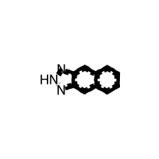 c1ccc2cc3n[nH]nc3cc2c1